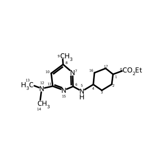 CCOC(=O)C1CCC(Nc2nc(C)cc(N(C)C)n2)CC1